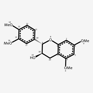 COc1cc(OC)c2c(c1)O[C@@H](c1ccc(OC)c(OC)c1)[C@H](O)C2